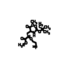 COC(=O)C(C[C@H](OCC[18F])C(=O)OC)NC(=O)OC(C)(C)C